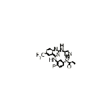 C=CC(=O)Nc1ccc(F)c(Nc2nc(Nc3cnn(C)c3)nc3ccc(C(F)(F)F)cc23)c1